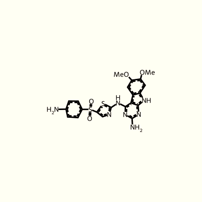 COc1cc2[nH]c3nc(N)nc(Nc4ncc(S(=O)(=O)c5ccc(N)cc5)s4)c3c2cc1OC